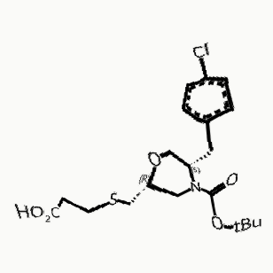 CC(C)(C)OC(=O)N1C[C@H](CSCCC(=O)O)OC[C@@H]1Cc1ccc(Cl)cc1